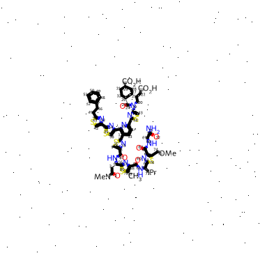 CNC(=O)C[C@H](NC(=O)c1csc(-c2ccc(-c3nc(N(CCCC(=O)O)C(=O)[C@H]4CC[C@H](C(=O)O)CC4)cs3)nc2-c2csc(-c3csc(CCc4ccccc4)n3)n2)n1)c1nc(C(=O)NC(c2nc(C(=O)NCC(N)=O)c(COC)s2)C(C)C)c(C)s1